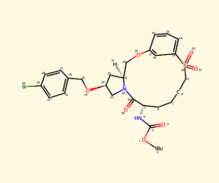 CC(C)(C)OC(=O)N[C@H]1CCCCS(=O)(=O)c2cccc(c2)OC[C@@H]2C[C@H](OCc3ccc(Br)cc3)CN2C1=O